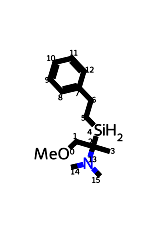 COCC(C)([SiH2]CCc1ccccc1)N(C)C